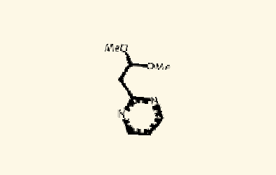 COC(Cc1ncccn1)OC